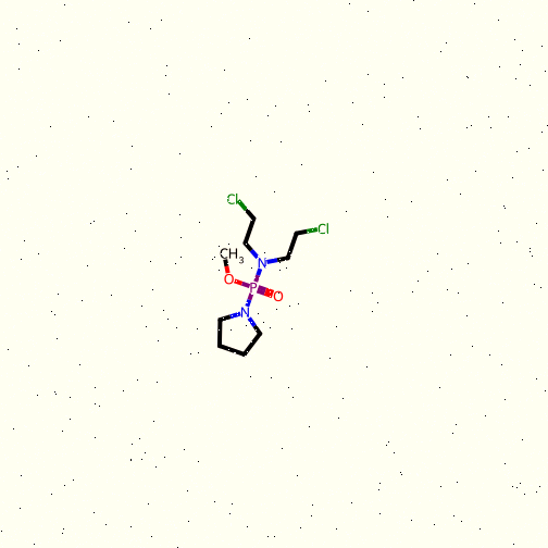 COP(=O)(N(CCCl)CCCl)N1CCCC1